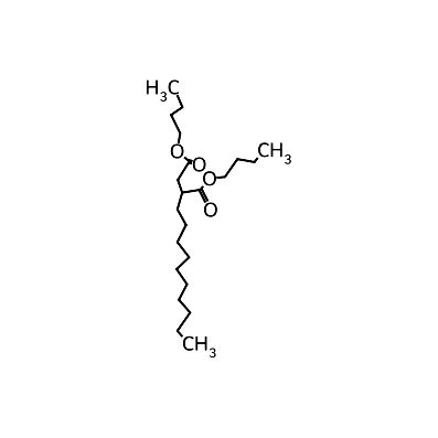 CCCCCCCCCCC(CC(=O)OCCCC)C(=O)OCCCC